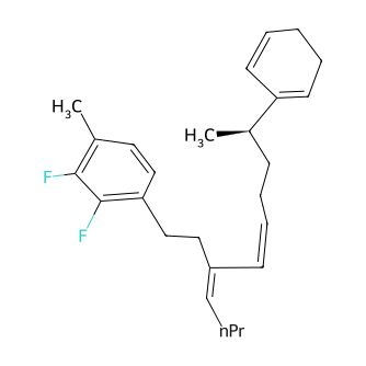 CCC/C=C(\C=C/CC[C@@H](C)C1=CCCC=C1)CCc1ccc(C)c(F)c1F